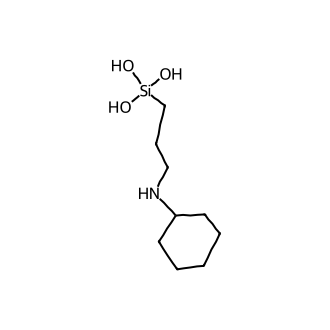 O[Si](O)(O)CCCNC1CCCCC1